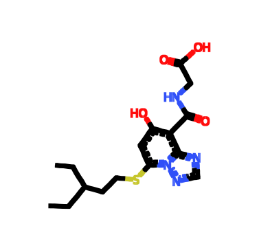 CCC(CC)CCSc1cc(O)c(C(=O)NCC(=O)O)c2ncnn12